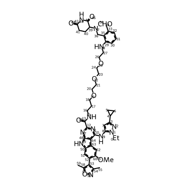 CCn1nc(C2CC2)cc1Nc1nc(C(=O)NCCCOCCOCCOCCNc2cccc(C)c2CN(C=O)C2CCC(=O)NC2=O)nc2[nH]c3cc(-c4c(C)noc4C)c(OC)cc3c12